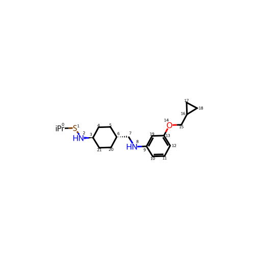 CC(C)SN[C@H]1CC[C@H](CNc2cccc(OCC3CC3)c2)CC1